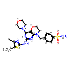 CCOC(=O)c1sc(Nc2nc(N3CCOCC3)c3c(n2)N(Cc2ccc(S(N)(=O)=O)cc2)CCO3)nc1C